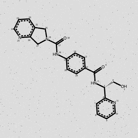 O=C(N[C@H](CO)c1ccccn1)c1ccc(NC(=O)N2Cc3cccnc3C2)cc1